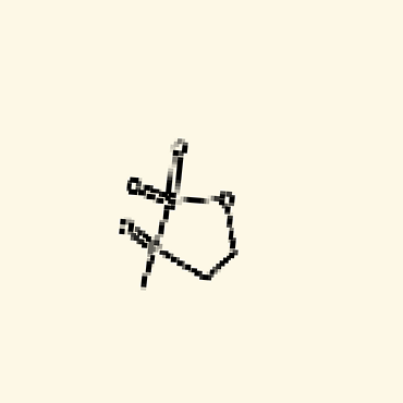 CP1(=O)CCOS1(=O)=O